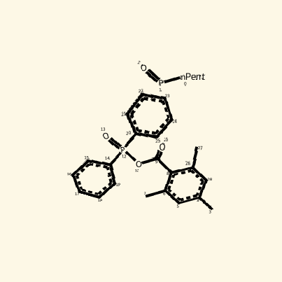 CCCCCP=O.Cc1cc(C)c(C(=O)OP(=O)(c2ccccc2)c2ccccc2)c(C)c1